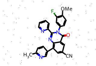 COc1ccc(-n2c(-c3ccccn3)nc3c(-c4ccc(C)nc4)cc(C#N)cc3c2=O)cc1F